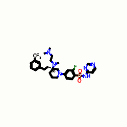 CN(C)CCN(C)[C@]1(CCc2cccc(C(F)(F)F)c2)CCCN(c2ccc(S(=O)(=O)Nc3ccncn3)c(F)c2)C1